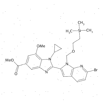 COC(=O)c1cc(OC)c2c(c1)nc(-c1cc3ccc(Br)nc3n1COCC[Si](C)(C)C)n2C1CC1